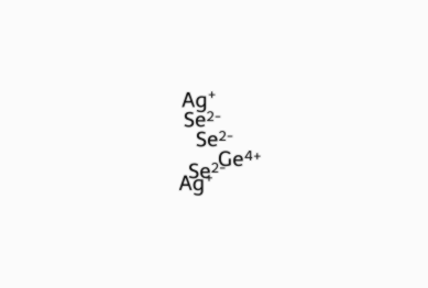 [Ag+].[Ag+].[Ge+4].[Se-2].[Se-2].[Se-2]